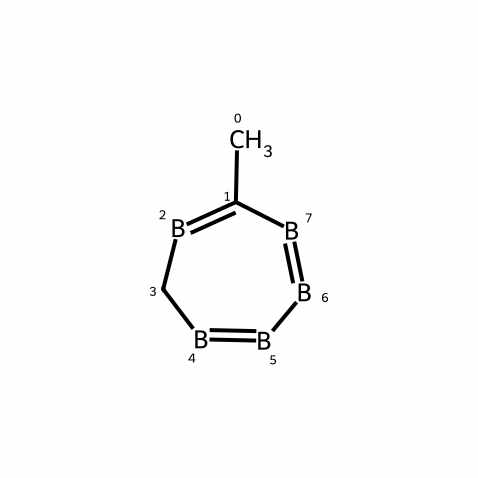 CC1=BCB=BB=B1